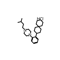 CC(C)CCN1CCN(c2ccccc2C2CCC3(CCCCC3)CC2)CC1.Cl